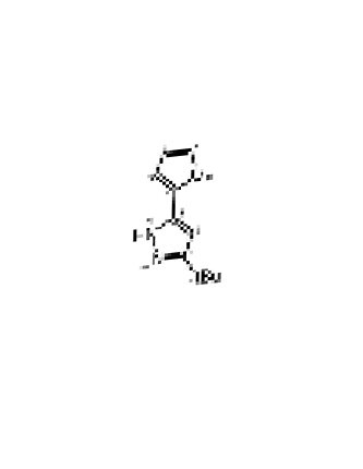 CC(C)(C)c1cc(-c2ccco2)[nH]n1